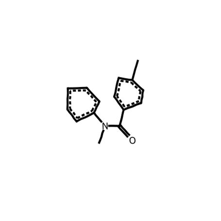 Cc1ccc(C(=O)N(C)c2ccccc2)cc1